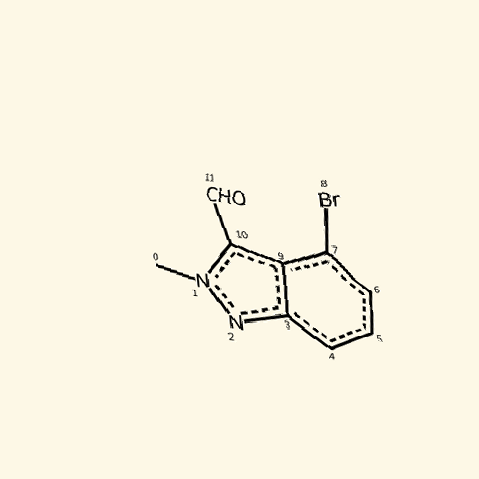 Cn1nc2cccc(Br)c2c1C=O